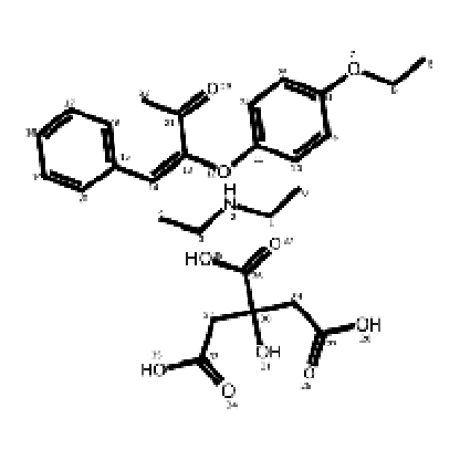 CCNCC.CCOc1ccc(OC(=Cc2ccccc2)C(C)=O)cc1.O=C(O)CC(O)(CC(=O)O)C(=O)O